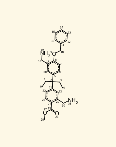 CCC(CC)(c1ccc(OCc2ccccc2)c(CN)c1)c1ccc(C(=O)OC)c(CN)c1